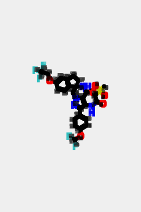 CS(=O)(=O)CC(=O)Nc1c(-c2ccc(OC(F)F)cc2)nn2c1C(=O)N[C@]1(CCc3cc(OCC(F)(F)F)ccc31)C2